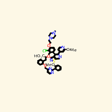 COc1cc(-c2ncc3snc(OC(Cc4ccccc4OCc4ccnc(-c5ccccc5OC)n4)C(=O)O)c3c2-c2ccc(OCCN3CCN(C)CC3)c(Cl)c2C)ccn1